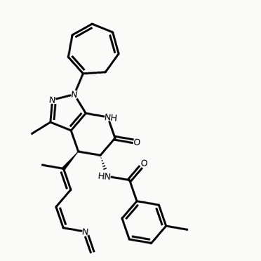 C=N/C=C\C=C(/C)[C@H]1c2c(C)nn(C3=CC=CC=CC3)c2NC(=O)[C@@H]1NC(=O)c1cccc(C)c1